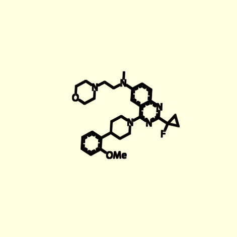 COc1ccccc1C1CCN(c2nc(C3(F)CC3)nc3ccc(N(C)CCN4CCOCC4)cc23)CC1